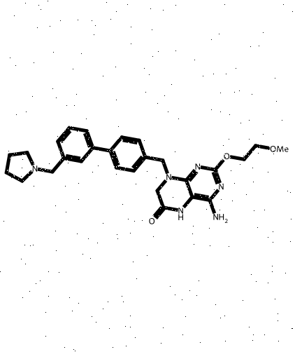 COCCOc1nc(N)c2c(n1)N(Cc1ccc(-c3cccc(CN4CCCC4)c3)cc1)CC(=O)N2